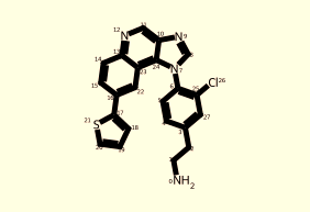 NCCc1ccc(-n2cnc3cnc4ccc(-c5cccs5)cc4c32)c(Cl)c1